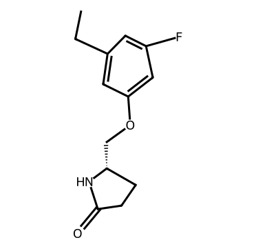 CCc1cc(F)cc(OC[C@@H]2CCC(=O)N2)c1